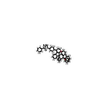 c1ccc(-c2nnc(-c3ccc(-c4cccc5c4-c4ccccc4C54c5ccccc5C5(c6ccccc6)c6ccccc6-c6cccc4c65)cc3)s2)cc1